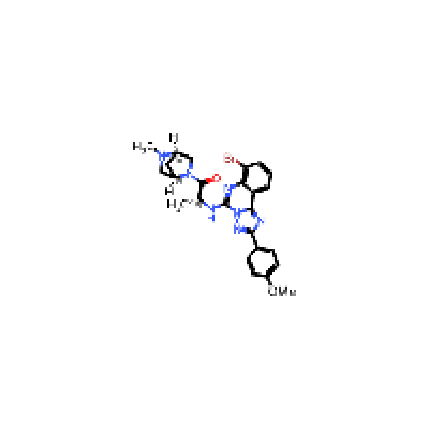 COc1ccc(-c2nc3c4cccc(Br)c4nc(N[C@H](C)C(=O)N4C[C@H]5C[C@@H]4CN5C)n3n2)cc1